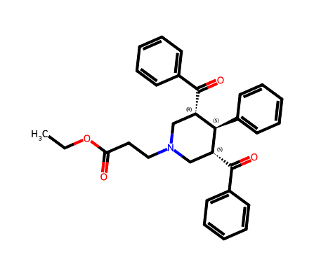 CCOC(=O)CCN1C[C@H](C(=O)c2ccccc2)[C@@H](c2ccccc2)[C@H](C(=O)c2ccccc2)C1